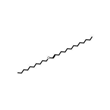 CCCCCCCCCCCCC=COCCCCCCCCCC